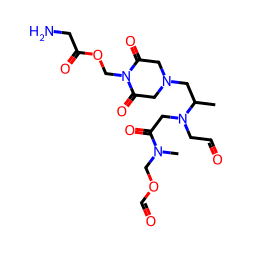 CC(CN1CC(=O)N(COC(=O)CN)C(=O)C1)N(CC=O)CC(=O)N(C)COC=O